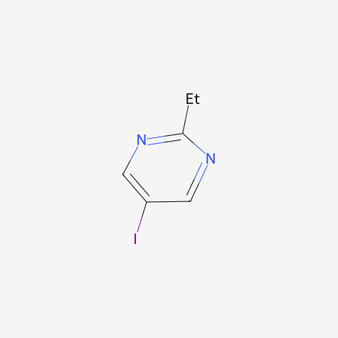 CCc1ncc(I)cn1